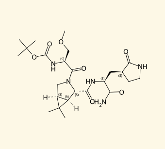 COC[C@H](NC(=O)OC(C)(C)C)C(=O)N1C[C@H]2[C@@H]([C@H]1C(=O)N[C@@H](C[C@@H]1CCNC1=O)C(N)=O)C2(C)C